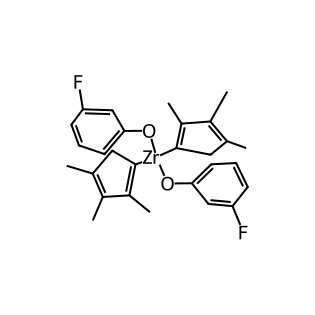 CC1=C(C)C(C)=[C]([Zr]([O]c2cccc(F)c2)([O]c2cccc(F)c2)[C]2=C(C)C(C)=C(C)C2)C1